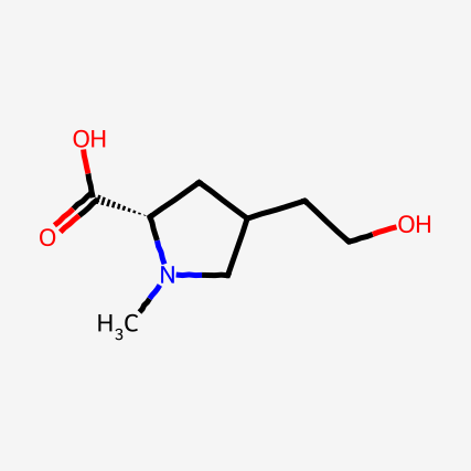 CN1CC(CCO)C[C@H]1C(=O)O